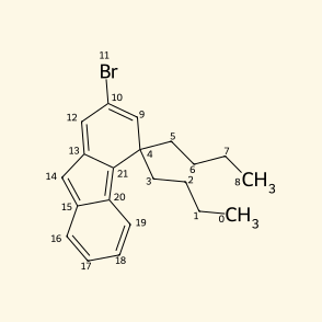 CCCCC1(CCCC)C=C(Br)C=C2C=c3ccccc3=C21